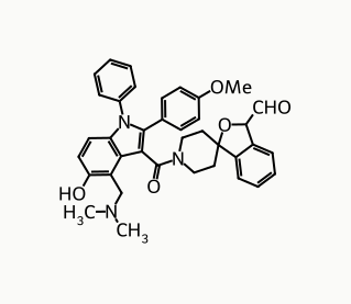 COc1ccc(-c2c(C(=O)N3CCC4(CC3)OC(C=O)c3ccccc34)c3c(CN(C)C)c(O)ccc3n2-c2ccccc2)cc1